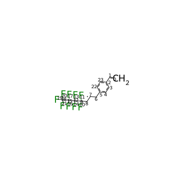 C=Cc1ccc(C[CH]CC(F)(F)C(F)(F)C(F)(F)C(F)(F)F)cc1